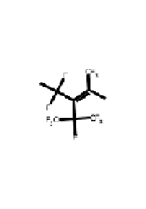 C/C(=C(/C(C)(F)F)C(F)(C(F)(F)F)C(F)(F)F)C(F)(F)F